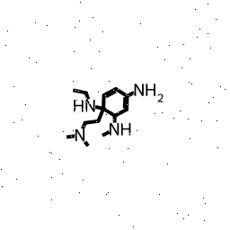 CCNC1(CCN(C)C)C=CC(N)=CC1NC